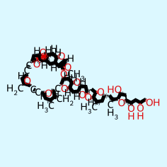 C=C1C[C@@H]2CC[C@@]34C[C@@H]5O[C@@H]6[C@@H](C[C@H]7CC[C@H](CC(=O)O[C@H]8C(C[C@H]9O[C@@H](CCC1O2)C[C@@H](C)C9=C)O[C@H]1C[C@H]2O[C@@]9(CC%10O[C@H](C[C@H](C)C%11O[C@H]([C@@H](O)CC(O)CO)C[C@@H]%11O)C[C@H](C)[C@@H]%10O9)C[C@H]2O[C@H]1[C@@H]8C)O[C@@H]7[C@@H]6O3)[C@@H]5O4